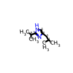 CC(C)Cc1c[nH]c(C(C)C)n1